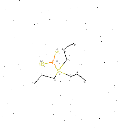 CCCS(CCC)(CCC)P(S)S